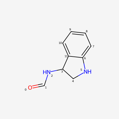 O=CNC1CNc2ccccc21